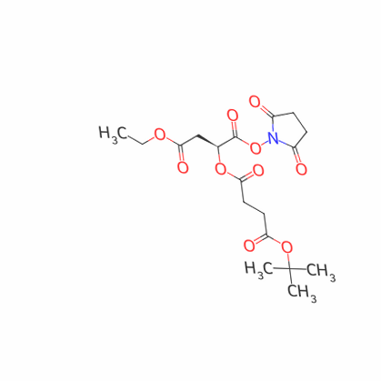 CCOC(=O)C[C@H](OC(=O)CCC(=O)OC(C)(C)C)C(=O)ON1C(=O)CCC1=O